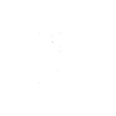 CC(C)(C)N(C[C@@H](Cc1ccccc1)NC(=O)c1c[nH]c2c1CCc1cnccc1-2)C(=O)O